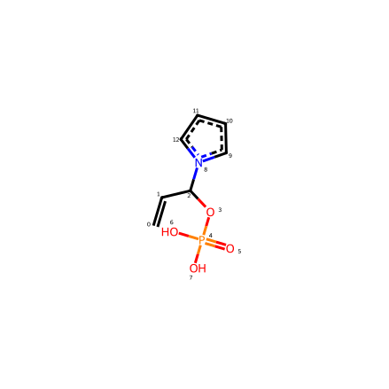 C=CC(OP(=O)(O)O)n1cccc1